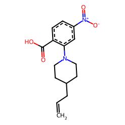 C=CCC1CCN(c2cc([N+](=O)[O-])ccc2C(=O)O)CC1